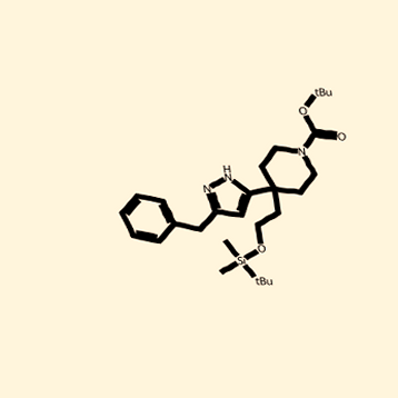 CC(C)(C)OC(=O)N1CCC(CCO[Si](C)(C)C(C)(C)C)(c2cc(Cc3ccccc3)n[nH]2)CC1